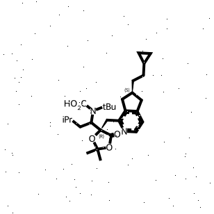 CC(C)CC(N(C(=O)O)C(C)(C)C)[C@@]1(Cc2nccc3c2C[C@@H](CCC2CC2)C3)OC(C)(C)OC1=O